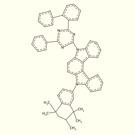 CC1CC(C)(C)c2ccc(-n3c4ccccc4c4c5c6ccccc6n(-c6nc(-c7ccccc7)nc(-c7ccccc7-c7ccccc7)n6)c5ccc43)cc2C1(C)C